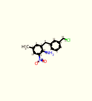 Cc1cc(Cc2cccc(CCl)c2)c(N)c([N+](=O)[O-])c1